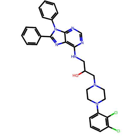 OC(CNc1ncnc2c1nc(-c1ccccc1)n2-c1ccccc1)CN1CCN(c2cccc(Cl)c2Cl)CC1